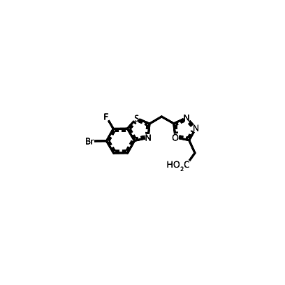 O=C(O)Cc1nnc(Cc2nc3ccc(Br)c(F)c3s2)o1